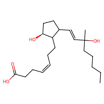 CCCCCC(C)(O)/C=C/C1CC[C@H](O)C1CC/C=C\CCC(=O)O